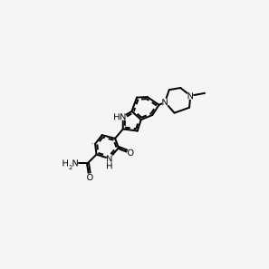 CN1CCN(c2ccc3[nH]c(-c4c[c]c(C(N)=O)[nH]c4=O)cc3c2)CC1